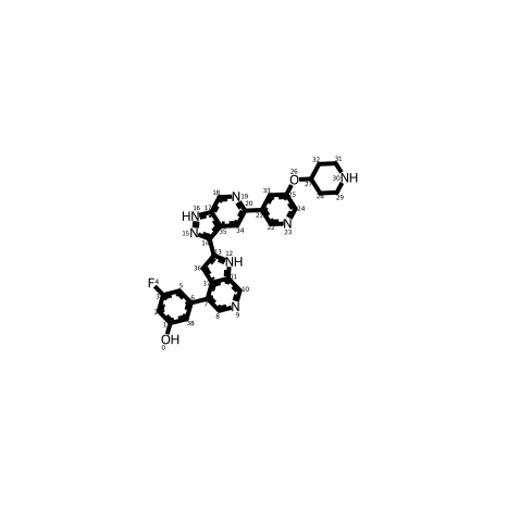 Oc1cc(F)cc(-c2cncc3[nH]c(-c4n[nH]c5cnc(-c6cncc(OC7CCNCC7)c6)cc45)cc23)c1